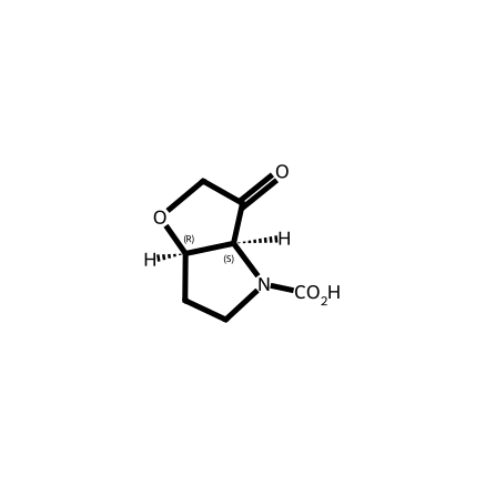 O=C1CO[C@@H]2CCN(C(=O)O)[C@H]12